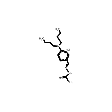 CCCCN(CCCC)c1ccc(/C=N/NC(=N)N)cc1.Cl